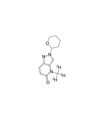 [2H]C([2H])([2H])n1c(=O)ccc2nn(C3CCCCO3)cc21